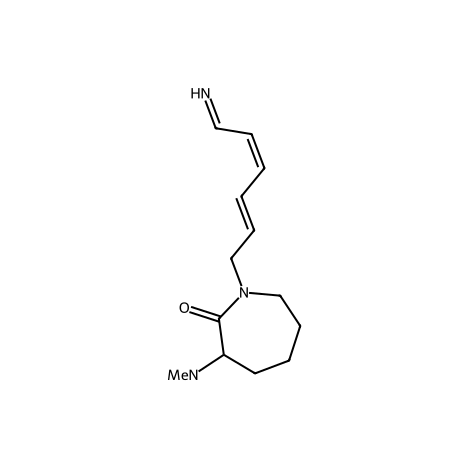 CNC1CCCCN(C/C=C/C=C\C=N)C1=O